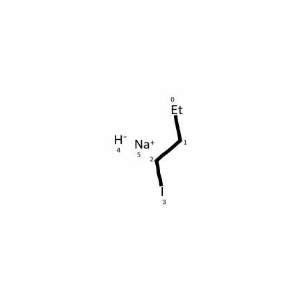 CCCCI.[H-].[Na+]